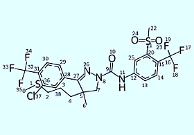 CSCCCC1(C)CN(C(=O)Nc2ccc(C(F)(F)F)c(S(C)(=O)=O)c2)N=C1c1ccc(C(F)(F)F)c(Cl)c1